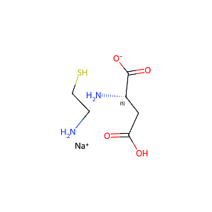 NCCS.N[C@@H](CC(=O)O)C(=O)[O-].[Na+]